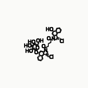 O=C(CCCC(=O)N1C[C@@H](CCl)c2c1cc(O[C@@H]1O[C@H](CO)[C@H](O)[C@H](O)[C@H]1O)c1ccccc21)N1C[C@@H](CCl)c2c1cc(O)c1ccccc21